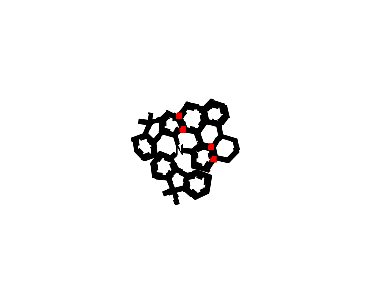 CC1(C)c2ccccc2-c2c(N(c3ccccc3-c3cccc4cccc(C5CCCCC5)c34)c3cccc4c3-c3ccccc3C4(C)C)cccc21